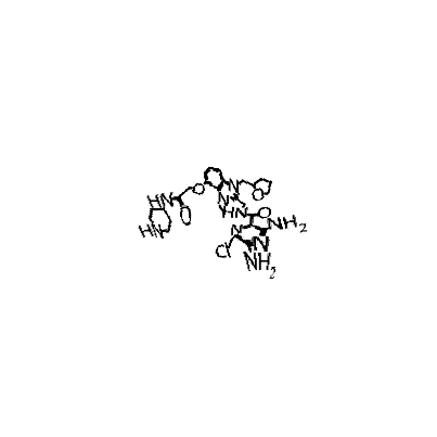 CC[n+]1c(CNC(=O)c2nc(Cl)c(N)nc2N)n(CC2CCCO2)c2cccc(OCC(=O)NC3CCNCC3)c21